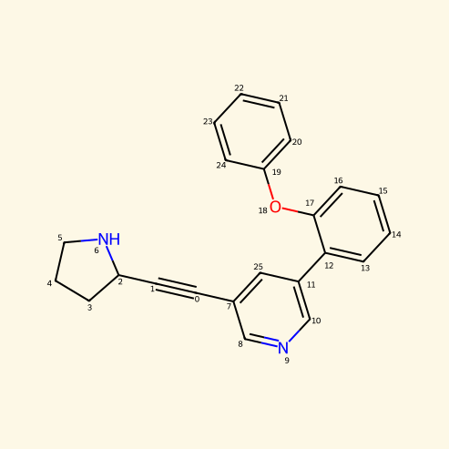 C(#CC1CCCN1)c1cncc(-c2ccccc2Oc2ccccc2)c1